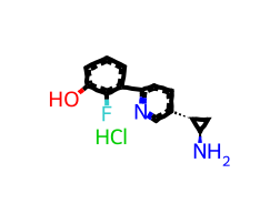 Cl.N[C@@H]1C[C@H]1c1ccc(-c2cccc(O)c2F)nc1